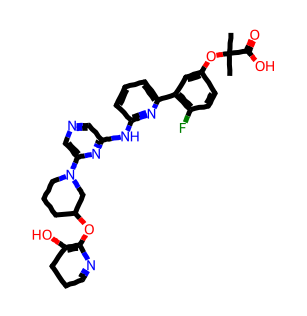 CC(C)(Oc1ccc(F)c(-c2cccc(Nc3cncc(N4CCCC(OC5=C(O)CCC=N5)C4)n3)n2)c1)C(=O)O